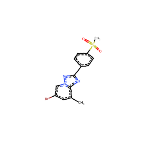 Cc1cc(Br)cn2nc(-c3ccc(S(C)(=O)=O)cc3)nc12